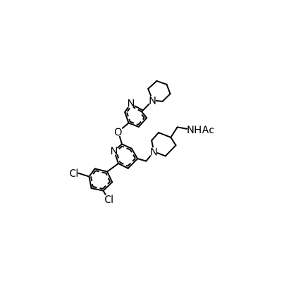 CC(=O)NCC1CCN(Cc2cc(Oc3ccc(N4CCCCC4)nc3)nc(-c3cc(Cl)cc(Cl)c3)c2)CC1